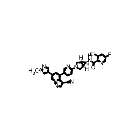 Cn1cc(-c2cc(-c3ccc(N4C[C@@H]5[C@H](C4)[C@H]5NC(=O)c4ncc(F)cc4Cl)nc3)c3c(C#N)cnn3c2)cn1